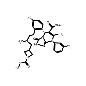 COC(=O)C1=C(C)N(c2cccc(C(F)(F)F)c2)c2n[nH]c(=O)n2[C@@H]1c1ccc(C#N)cc1CCN(C)CC1CN(C(=O)OC(C)(C)C)C1